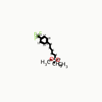 CO[Si](C)(CCCCCc1ccc(C(F)(F)F)cc1)OC